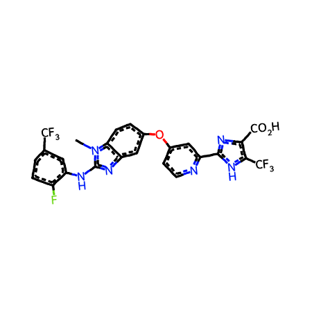 Cn1c(Nc2cc(C(F)(F)F)ccc2F)nc2cc(Oc3ccnc(-c4nc(C(=O)O)c(C(F)(F)F)[nH]4)c3)ccc21